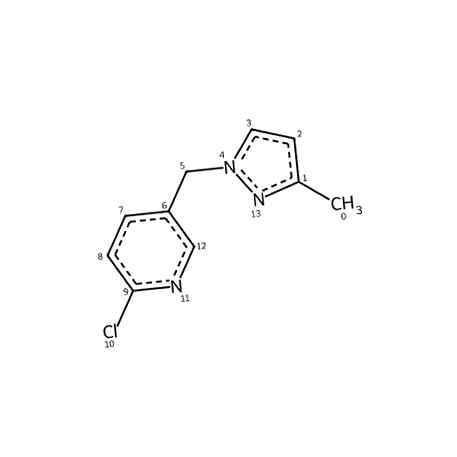 Cc1ccn(Cc2ccc(Cl)nc2)n1